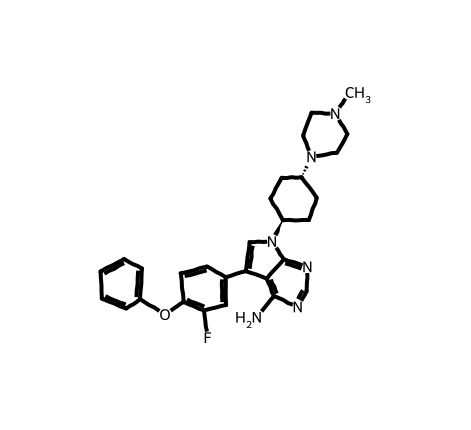 CN1CCN([C@H]2CC[C@H](n3cc(-c4ccc(Oc5ccccc5)c(F)c4)c4c(N)ncnc43)CC2)CC1